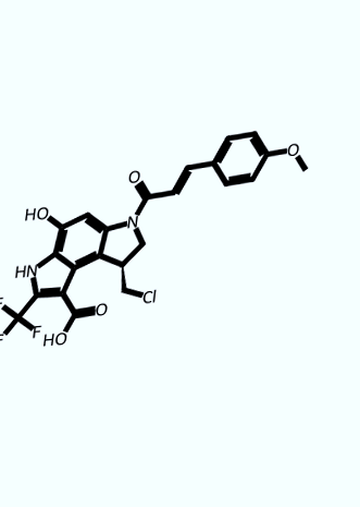 COc1ccc(C=CC(=O)N2C[C@@H](CCl)c3c2cc(O)c2[nH]c(C(F)(F)F)c(C(=O)O)c32)cc1